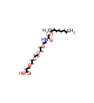 C=CCCCCCC(C)OCC(=O)NCCOCCOCCOCCOCCC(=O)O